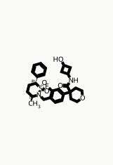 C[C@H]1CC[C@H](c2ccccc2)S(=O)(=O)N1Cc1ccc(C2(C(=O)NC3CC(O)C3)CCOCC2)cc1F